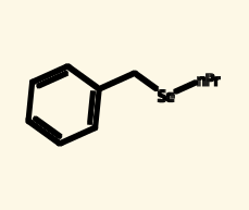 [CH2]CC[Se]Cc1ccccc1